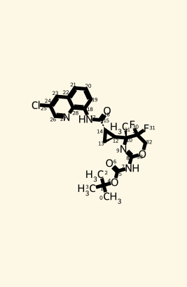 CC(C)(C)OC(=O)NC1=N[C@](C)([C@H]2C[C@@H]2C(=O)Nc2cccc3cc(Cl)cnc23)C(F)(F)CO1